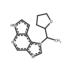 CC(C1CCCO1)n1cnc2cnc3[nH]ccc3c21